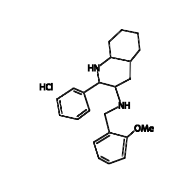 COc1ccccc1CNC1CC2CCCCC2NC1c1ccccc1.Cl